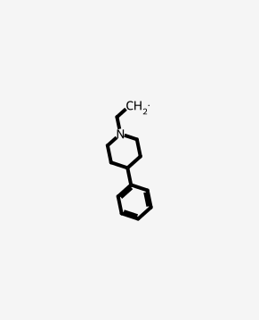 [CH2]CN1CCC(c2ccccc2)CC1